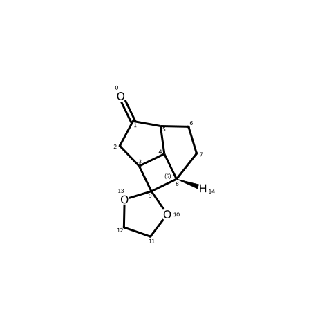 O=C1CC2C3C1CC[C@@H]3C21OCCO1